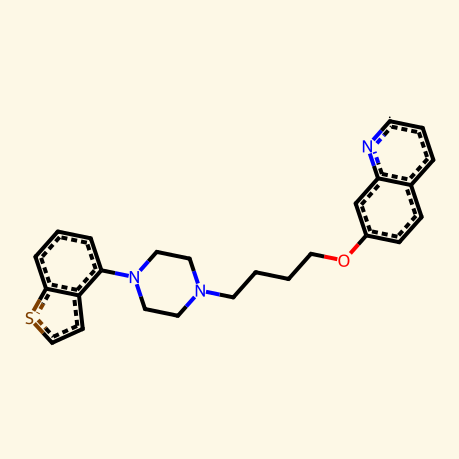 [c]1ccc2ccc(OCCCCN3CCN(c4cccc5sccc45)CC3)cc2n1